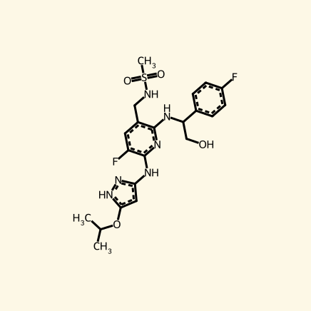 CC(C)Oc1cc(Nc2nc(NC(CO)c3ccc(F)cc3)c(CNS(C)(=O)=O)cc2F)n[nH]1